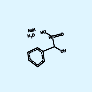 O.O=[PH](O)C(O)c1ccccc1.[NaH]